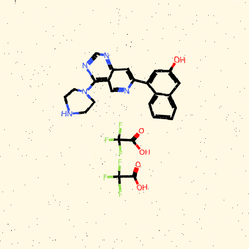 O=C(O)C(F)(F)F.O=C(O)C(F)(F)F.Oc1cc(-c2cc3ncnc(N4CCNCC4)c3cn2)c2ccccc2c1